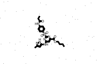 CCCCOC(=O)c1cc(Nc2cc(C)n[nH]2)nc(S(=O)(=O)c2ccc(NC(=O)CC)cc2)n1